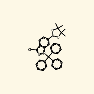 CC1(C)OB(c2ccc3c(Cl)nn(C(c4ccccc4)(c4ccccc4)c4ccccc4)c3c2)OC1(C)C